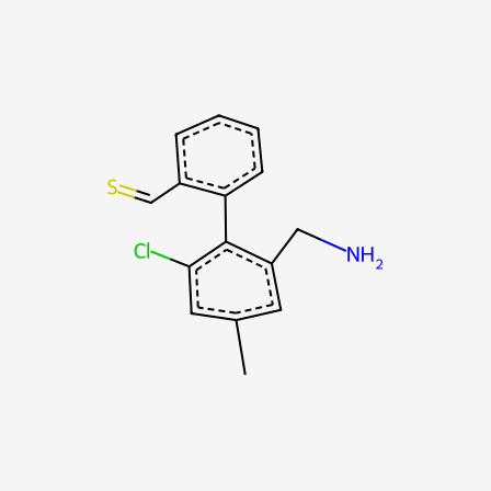 Cc1cc(Cl)c(-c2ccccc2C=S)c(CN)c1